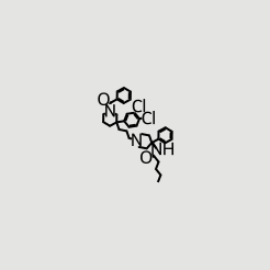 CCCCC(=O)NC1(c2ccccc2)CCN(CCCC2(c3ccc(Cl)c(Cl)c3)CCCN(C(=O)c3ccccc3)C2)CC1